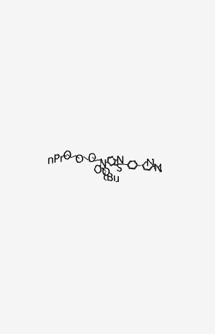 CCCOCCOCCOCCN(C(=O)OC(C)(C)C)c1ccc2nc(-c3ccc(-c4ccc(N(C)C)nc4)cc3)sc2c1